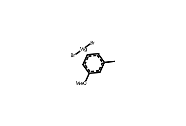 COc1cc[c]c(C)c1.[Br][Mg][Br]